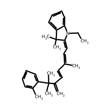 C=C(/C=C/C(C)=C/C=C1/N(CC)c2ccccc2C1(C)C)C(C)(C)c1ccccc1C